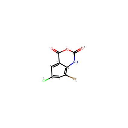 O=c1[nH]c2c(Br)cc(Cl)cc2c(=O)o1